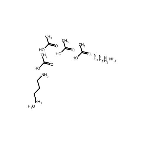 CC(=O)O.CC(=O)O.CC(=O)O.CC(=O)O.N.N.N.N.NCCCN.O